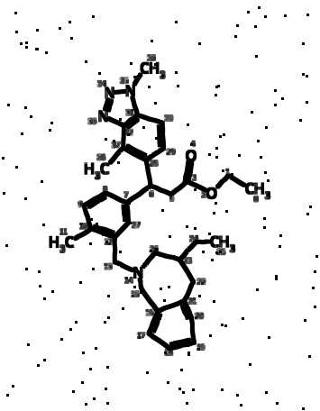 CCOC(=O)CC(c1ccc(C)c(CN2Cc3ccccc3CC(CC)C2)c1)c1ccc2c(nnn2C)c1C